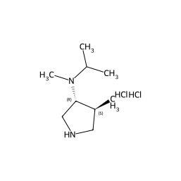 CC(C)N(C)[C@H]1CNC[C@@H]1C.Cl.Cl